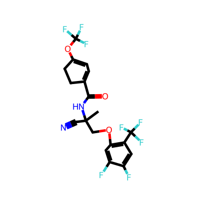 CC(C#N)(COc1cc(F)c(F)cc1C(F)(F)F)NC(=O)C1=CC=C(OC(F)(F)F)CC1